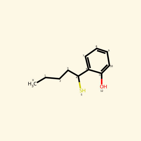 CCCCC(S)c1ccccc1O